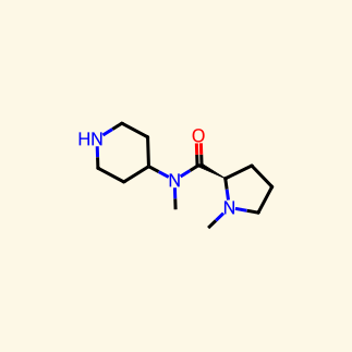 CN(C(=O)[C@H]1CCCN1C)C1CCNCC1